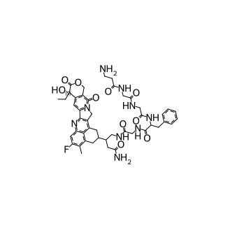 CC[C@@]1(O)C(=O)OCc2c1cc1n(c2=O)Cc2c-1nc1cc(F)c(C)c3c1c2CC(C(CNC(=O)CNC(=O)C(Cc1ccccc1)NC(=O)CNC(=O)CNC(=O)CCN)CC(N)=O)C3